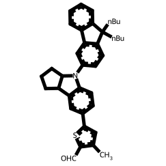 CCCCC1(CCCC)c2ccccc2-c2cc(N3c4ccc(-c5cc(C)c(C=O)s5)cc4C4CCCC43)ccc21